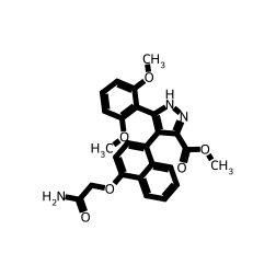 COC(=O)c1n[nH]c(-c2c(OC)cccc2OC)c1-c1ccc(OCC(N)=O)c2ccccc12